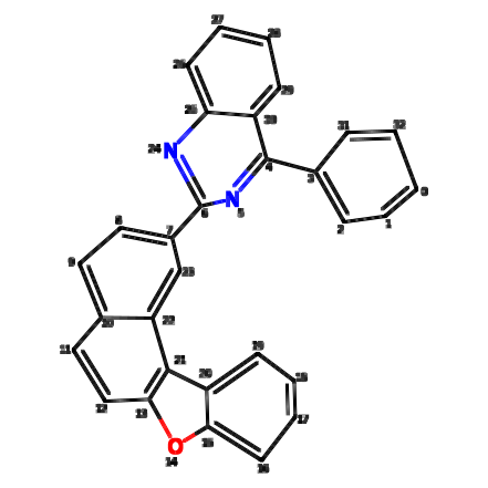 c1ccc(-c2nc(-c3ccc4ccc5oc6ccccc6c5c4c3)nc3ccccc23)cc1